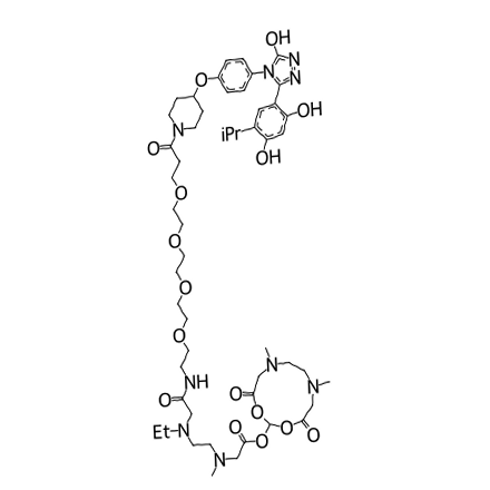 CCN(CCN(C)CC(=O)OC1OC(=O)CN(C)CCN(C)CC(=O)O1)CC(=O)NCCOCCOCCOCCOCCC(=O)N1CCC(Oc2ccc(-n3c(O)nnc3-c3cc(C(C)C)c(O)cc3O)cc2)CC1